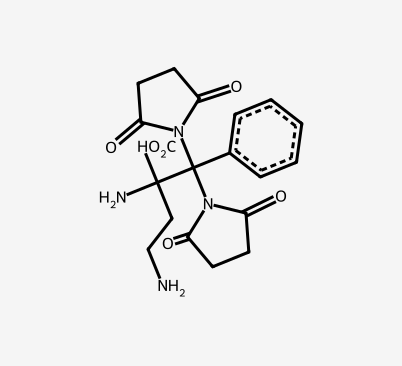 NCCC(N)(C(=O)O)C(c1ccccc1)(N1C(=O)CCC1=O)N1C(=O)CCC1=O